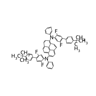 CC(C)(C)c1ccc(-c2cc(F)c(N(c3ccccc3)c3ccc4ccc5c(N(c6ccccc6)c6cc(F)c(-c7ccc(C(C)(C)C)cc7)cc6F)ccc6ccc3c4c65)cc2F)cc1